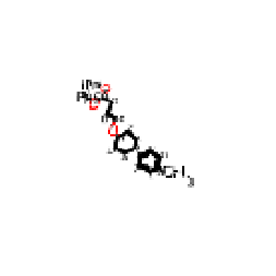 Cc1ccc([C@H]2CC[C@H](OCCC[SiH](OC(C)C)OC(C)C)CC2)cc1